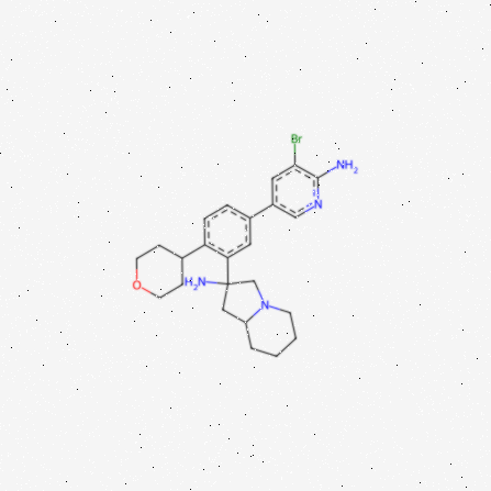 Nc1ncc(-c2ccc(C3CCOCC3)c(C3(N)CC4CCCCN4C3)c2)cc1Br